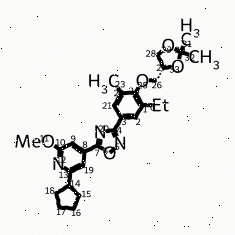 CCc1cc(-c2noc(-c3cc(OC)nc(C4CCCC4)c3)n2)cc(C)c1OC[C@@H]1COC(C)(C)O1